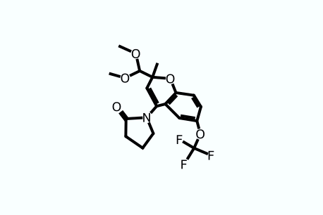 COC(OC)C1(C)C=C(N2CCCC2=O)c2cc(OC(F)(F)F)ccc2O1